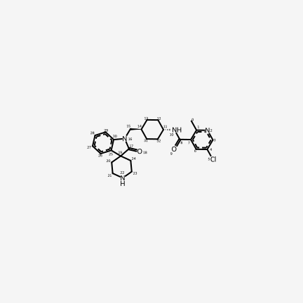 Cc1ncc(Cl)cc1C(=O)N[C@H]1CC[C@H](CN2C(=O)C3(CCNCC3)c3ccccc32)CC1